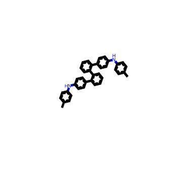 Cc1ccc(Nc2ccc(-c3ccccc3-c3ccccc3-c3ccc(Nc4ccc(C)cc4)cc3)cc2)cc1